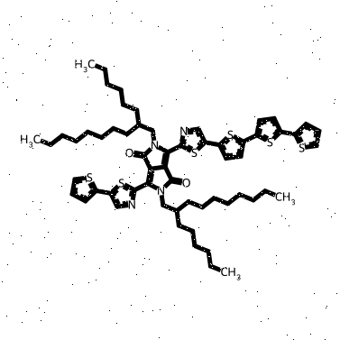 CCCCCCCCC(CCCCCC)CN1C(=O)C2=C(c3ncc(-c4ccc(-c5ccc(-c6cccs6)s5)s4)s3)N(CC(CCCCCC)CCCCCCCC)C(=O)C2=C1c1ncc(-c2cccs2)s1